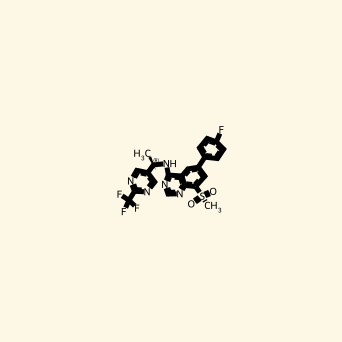 C[C@@H](Nc1ncnc2c(S(C)(=O)=O)cc(-c3ccc(F)cc3)cc12)c1cnc(C(F)(F)F)nc1